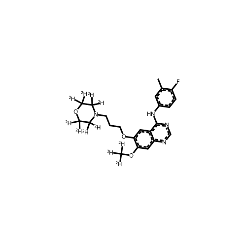 [2H]C([2H])([2H])Oc1cc2ncnc(Nc3ccc(F)c(C)c3)c2cc1OCCCN1C([2H])([2H])C([2H])([2H])OC([2H])([2H])C1([2H])[2H]